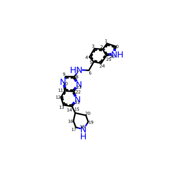 c1cc2ccc(CNc3cnc4ccc(C5CCNCC5)nc4n3)cc2[nH]1